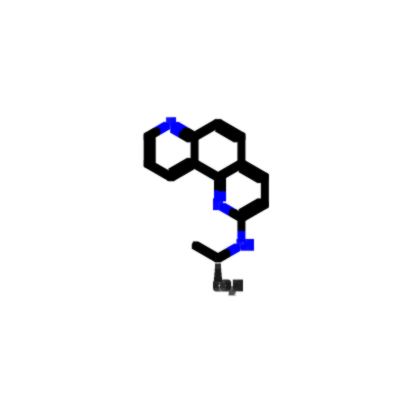 C[C@H](Nc1ccc2ccc3ncccc3c2n1)C(=O)O